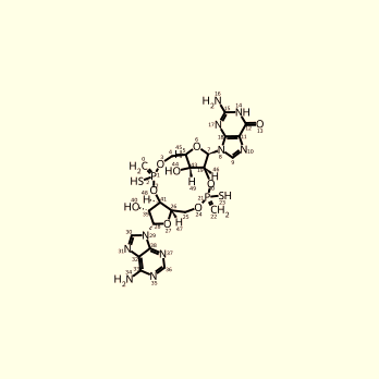 C=P1(S)OC[C@H]2O[C@@H](n3cnc4c(=O)[nH]c(N)nc43)[C@H](OP(=C)(S)OC[C@@H]3O[C@H](n4cnc5c(N)ncnc54)[C@H](O)[C@H]3O1)[C@@H]2O